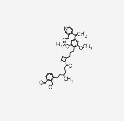 C=C(c1cc(OC)c(CCCC2CC[C@H]2C(=O)CCC(C)CCc2cccc(C=O)c2C=O)c(OC)c1)c1ccncc1C=O